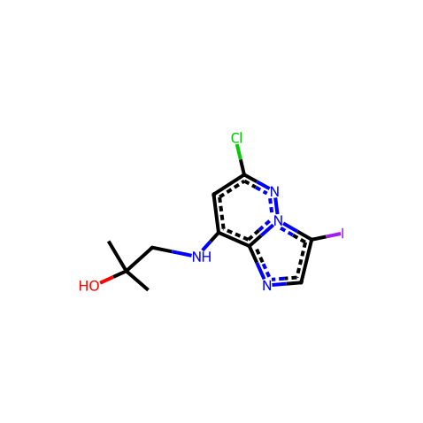 CC(C)(O)CNc1cc(Cl)nn2c(I)cnc12